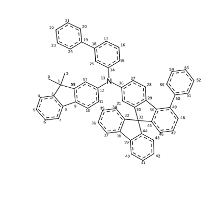 CC1(C)c2ccccc2-c2ccc(N(c3cccc(-c4ccccc4)c3)c3ccc4c(c3)C3(c5ccccc5-c5ccccc53)c3cccc(-c5ccccc5)c3-4)cc21